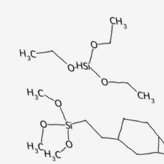 CCO[SiH](OCC)OCC.CO[Si](CCC1CCC2OC2C1)(OC)OC